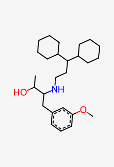 COc1cccc(CC(NCCC(C2CCCCC2)C2CCCCC2)C(C)O)c1